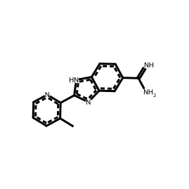 Cc1cccnc1-c1nc2cc(C(=N)N)ccc2[nH]1